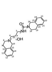 O=C(NC[C@H](O)CN1CCc2ccccc2C1)N1CCc2ccccc2C1